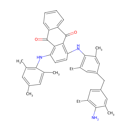 CCc1cc(Cc2cc(C)c(Nc3ccc(Nc4c(C)cc(C)cc4C)c4c3C(=O)c3ccccc3C4=O)c(CC)c2)cc(C)c1N